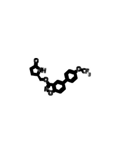 O=C1CC[C@H](COc2noc3ccc(-c4ccc(OC(F)(F)F)cc4)cc23)N1